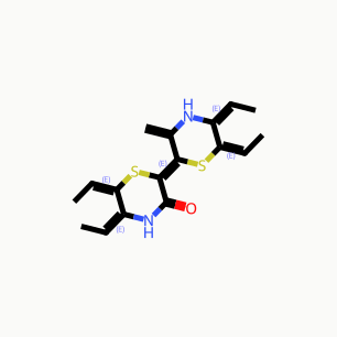 C=C1NC(=C/C)/C(=C\C)S/C1=C1/SC(=C/C)/C(=C\C)NC1=O